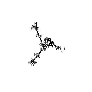 Cc1c(-c2cccc(S(=O)(=O)N(C)C)c2)c2cc(C(=O)Nc3cc(C(=O)NCCCCCNC(=O)CCCCC4SCC5NC(=O)NC54)cc(C(=O)NCCCCCNC(=O)CCCCC4SCC5NC(=O)NC54)c3)ccc2n1C/C(F)=C/CNC(=O)O